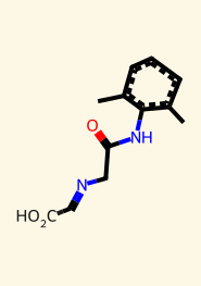 Cc1cccc(C)c1NC(=O)CN=CC(=O)O